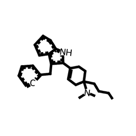 CCCCC1(N(C)C)CC=C(c2[nH]c3ccccc3c2Cc2ccccc2)CC1